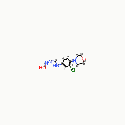 ON=[N+]=CNc1ccc(N2CCOCC2)c(Cl)c1